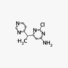 [CH2]C(c1ccncn1)c1cc(N)nc(Cl)n1